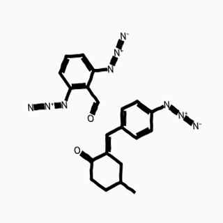 CC1CCC(=O)C(=Cc2ccc(N=[N+]=[N-])cc2)C1.[N-]=[N+]=Nc1cccc(N=[N+]=[N-])c1C=O